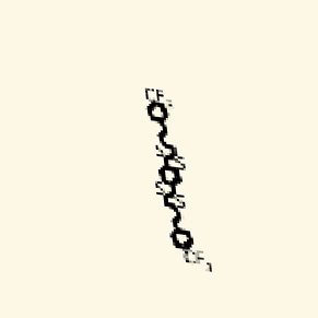 FC(F)(F)c1ccc(/C=C/c2cc3sc4cc5c(cc4c3s2)sc2cc(/C=C/c3ccc(C(F)(F)F)cc3)sc25)cc1